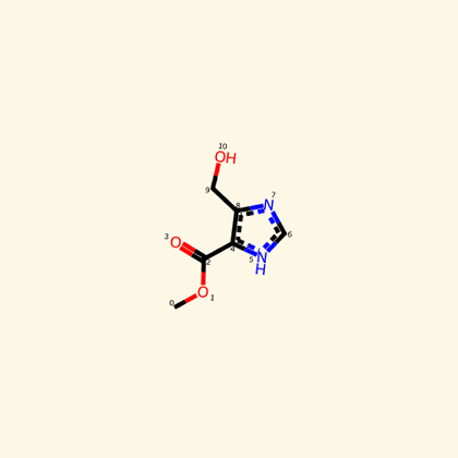 COC(=O)c1[nH]cnc1CO